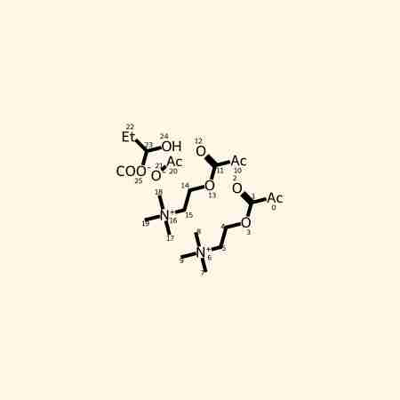 CC(=O)C(=O)OCC[N+](C)(C)C.CC(=O)C(=O)OCC[N+](C)(C)C.CC(=O)[O-].CCC(O)C(=O)[O-]